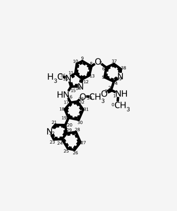 CNC(=O)c1cc(Oc2ccc3c(c2)nc(Nc2cc(-c4cncc5ccccc45)ccc2OC)n3C)ccn1